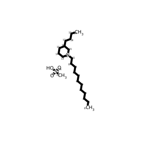 CCCCCCCCCCCCN1CCCC(CCCC)C1.CS(=O)(=O)O